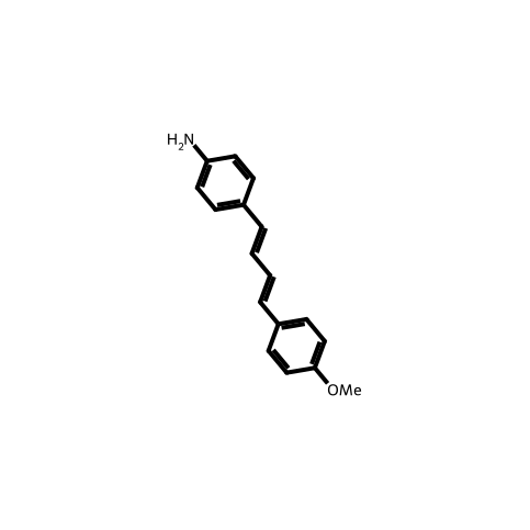 COc1ccc(/C=C/C=C/c2ccc(N)cc2)cc1